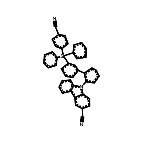 N#Cc1ccc([Si](c2ccccc2)(c2ccccc2)c2cccc(-c3ccccc3-n3c4ccccc4c4cc(C#N)ccc43)c2)cc1